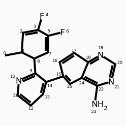 CC1C=C(F)C(F)=CC1c1ncccc1-c1ccc2ncnc(N)c2c1